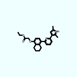 CCOC(=O)COc1ccc(-c2cccc(-c3cc(C)[nH]c3C)n2)c2c1CCCC2